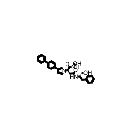 O=C(C[C@H](C(=O)NO)n1ccc(-c2ccc(-c3ccccc3)cc2)c1)N[C@H](CO)Cc1ccccc1